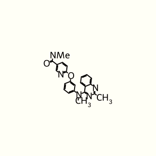 CNC(=O)c1ccc(Oc2cccc(N(C)c3nc(C)nc4ccccc34)c2)nc1